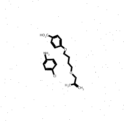 C=C(C)COCCCCOc1ccc(C(=O)O)cc1.Nc1ccc(Cl)cc1